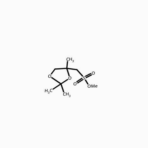 COS(=O)(=O)CC1(C)COC(C)(C)O1